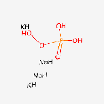 O=P(O)(O)OO.[KH].[KH].[NaH].[NaH]